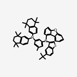 Cc1cc(N(c2ccc3c(c2)C(C)(C)CCC3(C)C)c2ccc3c(c2)C(C)(C)CCC3(C)C)cc(N(c2csc3ccc(C(C)(C)C)cc23)c2cccc3oc4ccccc4c23)c1